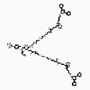 CC(C)(C)OC(=O)N[C@H](Cc1ccc(OP(=O)(O)O)cc1)C(=O)N[C@@H](CCC(=O)NCCCOCCOCCOCCCNC(=O)CCCCC1(C(C)(C)CCCCOc2cc(-c3ccccc3)cc(-c3ccccc3)n2)N=NN=N1)C(=O)NCCCOCCOCCOCCCNC(=O)CCCCC1(C(C)(C)CCCCOc2cc(-c3ccccc3)cc(-c3ccccc3)n2)N=NN=N1